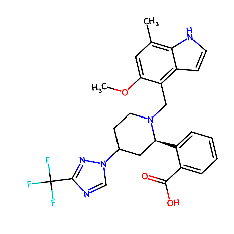 COc1cc(C)c2[nH]ccc2c1CN1CCC(n2cnc(C(F)(F)F)n2)C[C@@H]1c1ccccc1C(=O)O